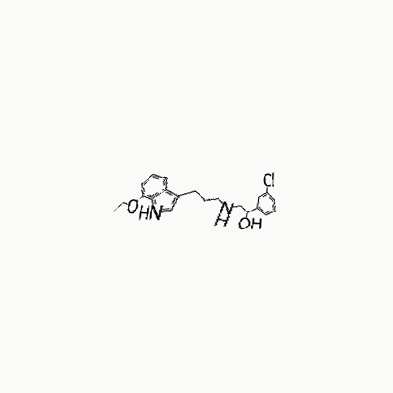 CCOc1cccc2c(CCCNCC(O)c3cccc(Cl)c3)c[nH]c12